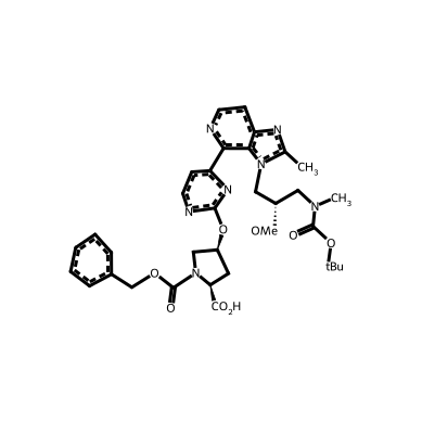 CO[C@@H](CN(C)C(=O)OC(C)(C)C)Cn1c(C)nc2ccnc(-c3ccnc(O[C@H]4C[C@@H](C(=O)O)N(C(=O)OCc5ccccc5)C4)n3)c21